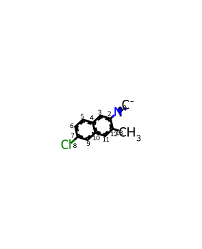 [C-]#[N+]c1cc2ccc(Cl)cc2cc1C